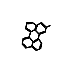 Cc1cc2cccc3c4cccc5cccc(c(c1)c23)c54